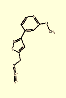 COc1cc(-c2cc(CN=[N+]=[N-])sn2)ccn1